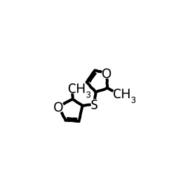 CC1OC=CC1SC1C=COC1C